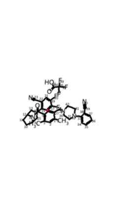 Cc1cc(C)c(C(=O)N2C3CCC2CN(c2cc(F)c(F)cc2C#N)C3)cc1CN1CCN(c2ccccc2C#N)CC1.O=C(O)C(F)(F)F